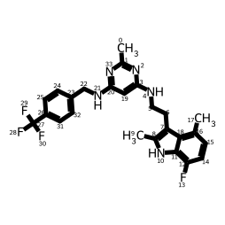 Cc1nc(NCCc2c(C)[nH]c3c(F)ccc(C)c23)cc(NCc2ccc(C(F)(F)F)cc2)n1